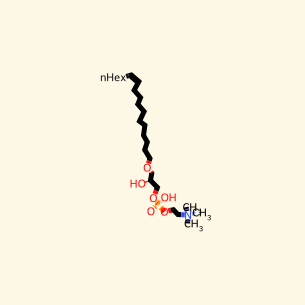 CCCCCC/C=C\CCCCCCCCCCOC[C@@H](O)COP(=O)(O)OCC[N+](C)(C)C